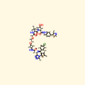 Cc1ncsc1-c1ccc(CNC(=O)[C@@H]2C[C@@H](O)CN2C(=O)[C@@H](NC(=O)COCCO[C@H]2C[C@@H](NC(=O)C[C@@H]3N=C(c4ccc(Cl)cc4)c4c(sc(C)c4C)-n4c(C)nnc43)C2)C(C)(C)C)cc1